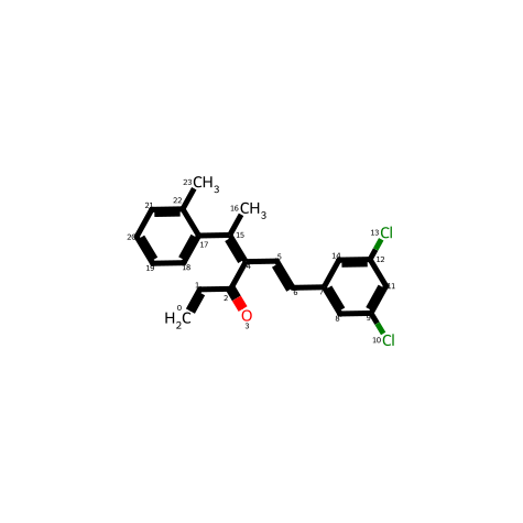 C=CC(=O)C(/C=C/c1cc(Cl)cc(Cl)c1)=C(/C)c1ccccc1C